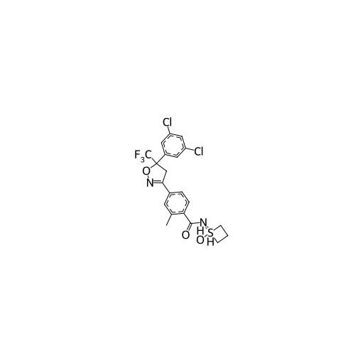 Cc1cc(C2=NOC(c3cc(Cl)cc(Cl)c3)(C(F)(F)F)C2)ccc1C(=O)N=[SH]1(O)CCC1